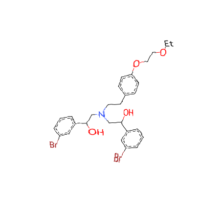 CCOCCOc1ccc(CCN(CC(O)c2cccc(Br)c2)CC(O)c2cccc(Br)c2)cc1